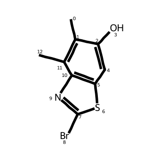 Cc1c(O)cc2sc(Br)nc2c1C